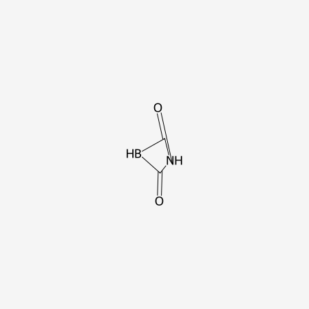 O=C1BC(=O)N1